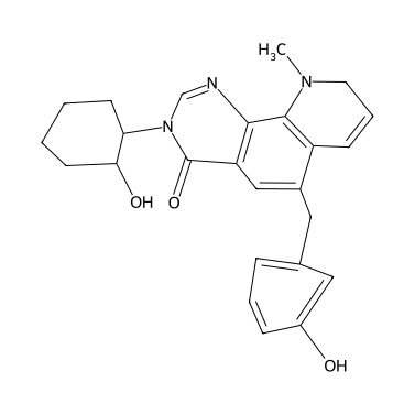 CN1CC=Cc2c(Cc3cccc(O)c3)cc3c(=O)n(C4CCCCC4O)cnc3c21